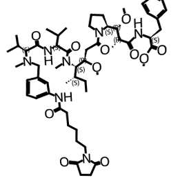 CC[C@H](C)[C@@H]([C@@H](CC(=O)N1CCC[C@H]1[C@H](OC)[C@@H](C)C(=O)N[C@@H](Cc1ccccc1)C(=O)OC)OC)N(C)C(=O)[C@@H](NC(=O)[C@H](C(C)C)N(C)Cc1cccc(NC(=O)CCCCCN2C(=O)CCC2=O)c1)C(C)C